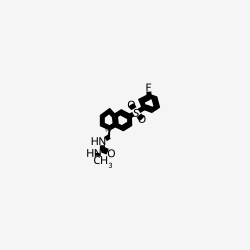 CNC(=O)NC[C@H]1CCCc2cc(S(=O)(=O)c3cccc(F)c3)ccc21